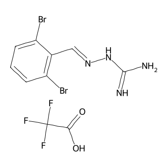 N=C(N)N/N=C/c1c(Br)cccc1Br.O=C(O)C(F)(F)F